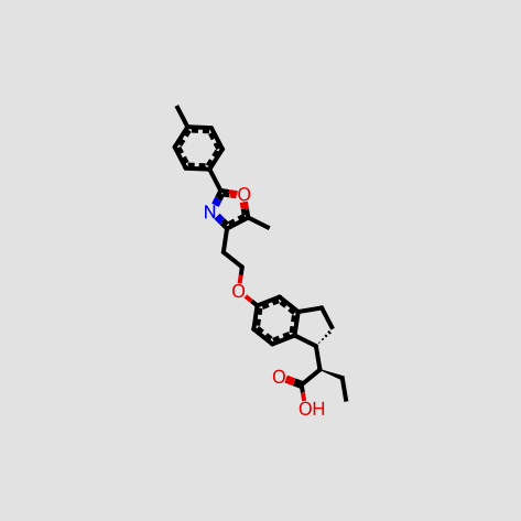 CC[C@@H](C(=O)O)[C@H]1CCc2cc(OCCc3nc(-c4ccc(C)cc4)oc3C)ccc21